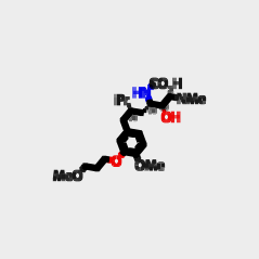 CNC[C@H](O)[C@H](C[C@H](Cc1ccc(OC)c(OCCCOC)c1)C(C)C)NC(=O)O